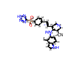 Cc1c(Nc2c(C#N)cncc2/C=C/c2ccc(S(=O)(=O)c3nn[nH]n3)cc2)ccc2[nH]ccc12